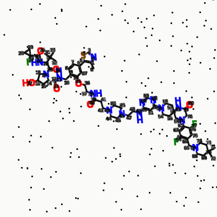 Cc1ncsc1-c1ccc(CNC(=O)[C@@H]2C[C@@H](O)CN2C(=O)[C@@H](NC(=O)C2(F)CC2)C(C)(C)C)c(OCCNC(=O)CCN2CCN(CCNc3cc(N4CCC5(CC4)CN(c4cc(F)c(CN6CCC(C)(C)CC6)cc4F)CC(=O)N5)ncn3)CC2)c1